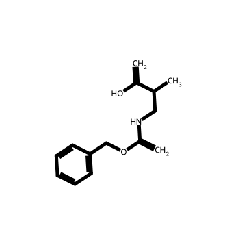 C=C(NCC(C)C(=C)O)OCc1ccccc1